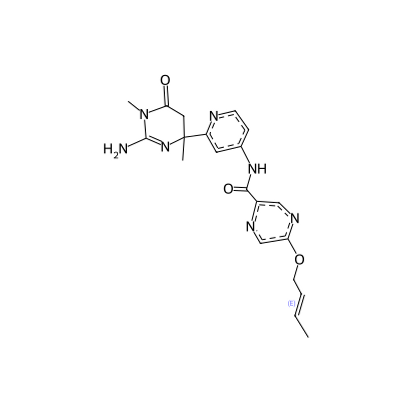 C/C=C/COc1cnc(C(=O)Nc2ccnc(C3(C)CC(=O)N(C)C(N)=N3)c2)cn1